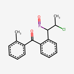 Cc1ccccc1C(=O)c1ccccc1C(P=O)C(C)Cl